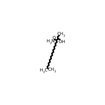 CCCC(CO)C(CCCCCCCCCCCCCCCCC(C)C)C(N)=O